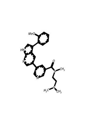 COc1ccccc1-c1c[nH]c2ncc(-c3cncc(C(=O)N(C)CCN(C)C)c3)cc12